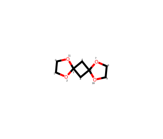 C1COC2(CC3(C2)OCCO3)O1